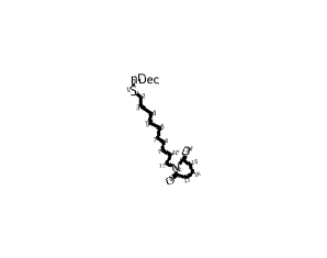 CCCCCCCCCCSCCCCCCCCCCN1C(=O)CCCC1=O